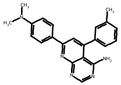 Cc1cccc(-c2cc(-c3ccc(N(C)C)cc3)nc3ncnc(N)c23)c1